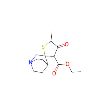 CCOC(=O)C1C(=O)C(C)SC12CN1CCC2CC1